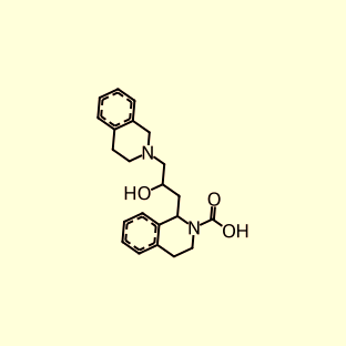 O=C(O)N1CCc2ccccc2C1CC(O)CN1CCc2ccccc2C1